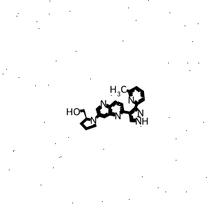 Cc1cccc(-c2n[nH]cc2-c2ccc3ncc(N4CCC[C@H]4CO)cc3n2)n1